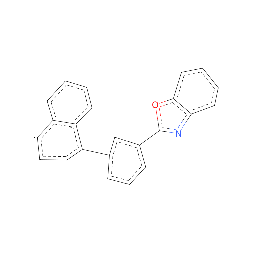 [c]1ccc(-c2cccc(-c3nc4ccccc4o3)c2)c2ccccc12